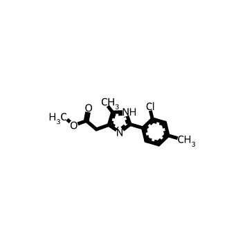 COC(=O)Cc1nc(-c2ccc(C)cc2Cl)[nH]c1C